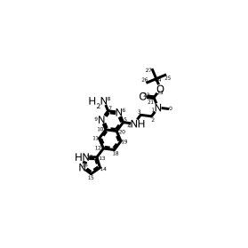 CN(CCNc1nc(N)nc2cc(-c3ccn[nH]3)ccc12)C(=O)OC(C)(C)C